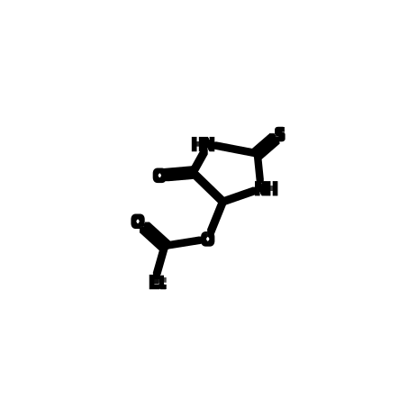 CCC(=O)OC1NC(=S)NC1=O